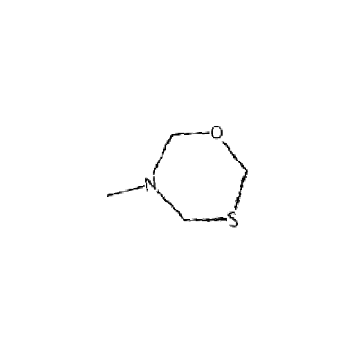 CN1COCSC1